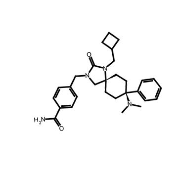 CN(C)[C@]1(c2ccccc2)CC[C@@]2(CC1)CN(Cc1ccc(C(N)=O)cc1)C(=O)N2CC1CCC1